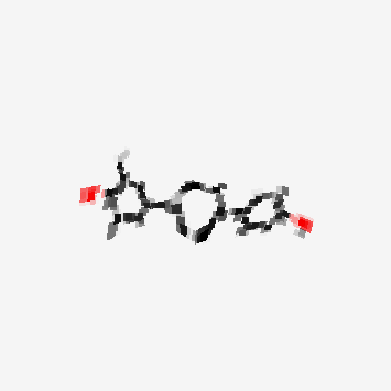 CCc1cc(C2C=CC(c3ccc(O)cc3)C=C2)ccc1O